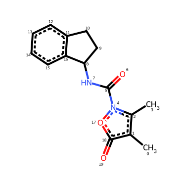 Cc1c(C)n(C(=O)NC2CCc3ccccc32)oc1=O